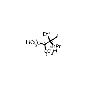 CCCC(C)(CC)C(C(=O)O)C(=O)O